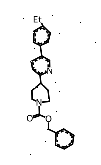 CCc1ccc(-c2ccc(C3CCN(C(=O)OCc4ccccc4)CC3)nc2)cc1